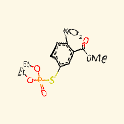 CCOP(=O)(OCC)Sc1ccc([N+](=O)[O-])c(C(=O)OC)c1